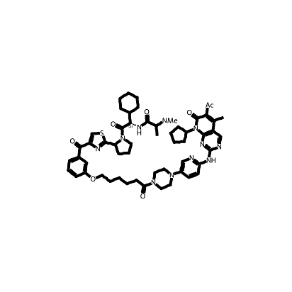 CNC(C)C(=O)N[C@H](C(=O)N1CCCC1c1nc(C(=O)c2cccc(OCCCCCC(=O)N3CCN(c4ccc(Nc5ncc6c(C)c(C(C)=O)c(=O)n(C7CCCC7)c6n5)nc4)CC3)c2)cs1)C1CCCCC1